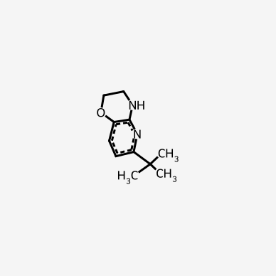 CC(C)(C)c1ccc2c(n1)NCCO2